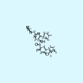 Cn1ccc(-c2cc(C(=O)Nc3cnc(CN=[N+]=[N-])nc3-c3ccccc3)c(F)cc2C(F)(F)F)n1